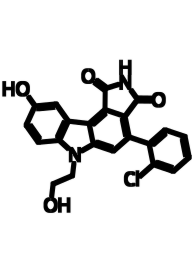 O=C1NC(=O)c2c1c(-c1ccccc1Cl)cc1c2c2cc(O)ccc2n1CCO